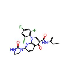 C=C(CC)NC(=O)c1cn(-c2c(F)cc(F)cc2F)c2nc(N3CCNC3=O)ccc2c1=O